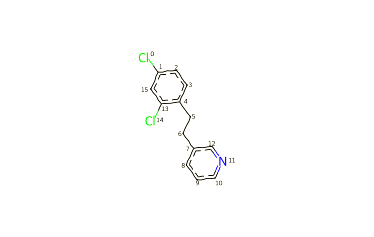 Clc1ccc(CCc2cccnc2)c(Cl)c1